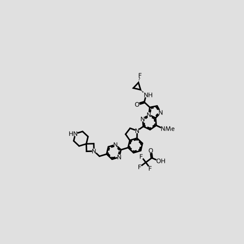 CNc1cc(N2CCc3c(-c4ncc(CN5CC6(CCNCC6)C5)cn4)cccc32)nn2c(C(=O)N[C@@H]3C[C@@H]3F)cnc12.O=C(O)C(F)(F)F